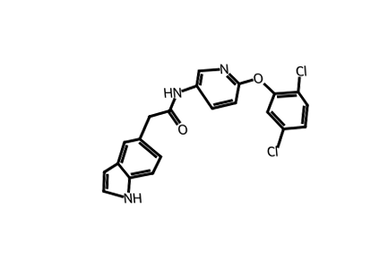 O=C(Cc1ccc2[nH]ccc2c1)Nc1ccc(Oc2cc(Cl)ccc2Cl)nc1